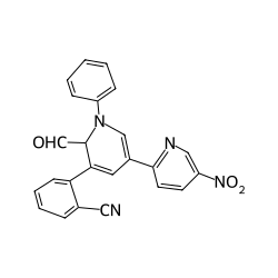 N#Cc1ccccc1C1=CC(c2ccc([N+](=O)[O-])cn2)=CN(c2ccccc2)C1C=O